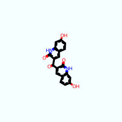 O=C(c1cc2ccc(O)cc2[nH]c1=O)c1cc2ccc(O)cc2[nH]c1=O